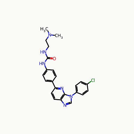 CN(C)CCNC(=O)Nc1ccc(-c2ccc3ncn(-c4ccc(Cl)cc4)c3n2)cc1